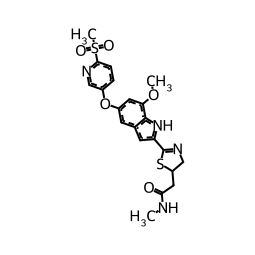 CNC(=O)CC1CN=C(c2cc3cc(Oc4ccc(S(C)(=O)=O)nc4)cc(OC)c3[nH]2)S1